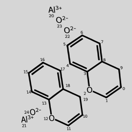 C1=COc2ccccc2C1.C1=COc2ccccc2C1.[Al+3].[Al+3].[O-2].[O-2].[O-2]